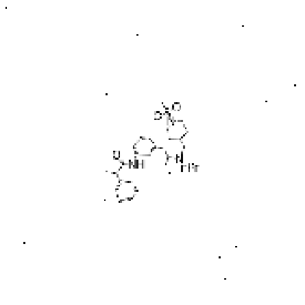 CCCN(CC1CCN(S(C)(=O)=O)CC1)C(C)Cc1cccc(NC(=O)C(C)c2ccccc2)c1